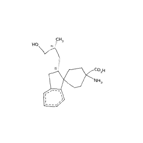 C[C@@H](CO)C[C@H]1Cc2ccccc2C12CCC(N)(C(=O)O)CC2